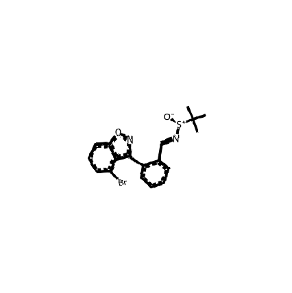 CC(C)(C)[S@+]([O-])N=Cc1ccccc1-c1noc2cccc(Br)c12